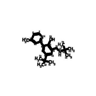 Cc1ccnc(-c2cc(C(C)(C)C)cc(CNC(C)(C)C)c2O)c1